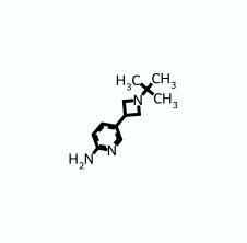 CC(C)(C)N1CC(c2ccc(N)nc2)C1